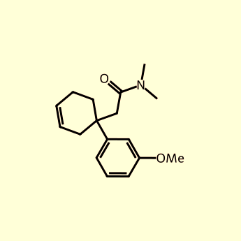 COc1cccc(C2(CC(=O)N(C)C)CC=CCC2)c1